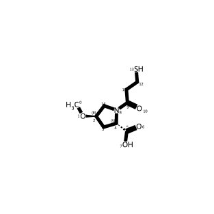 CO[C@@H]1C[C@@H](C(=O)O)N(C(=O)CCS)C1